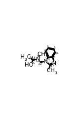 Cc1nc2ccccc2n1CN(C)C(C)O